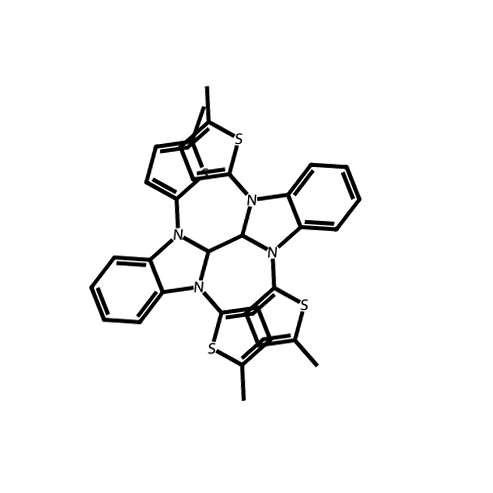 Cc1ccc(N2c3ccccc3N(c3ccc(C)s3)C2C2N(c3ccc(C)s3)c3ccccc3N2c2ccc(C)s2)s1